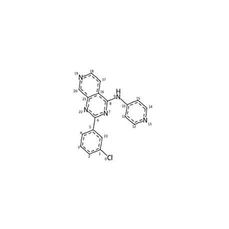 Clc1cccc(-c2nc(Nc3ccncc3)c3ccncc3n2)c1